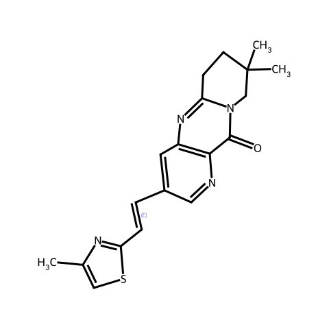 Cc1csc(/C=C/c2cnc3c(=O)n4c(nc3c2)CCC(C)(C)C4)n1